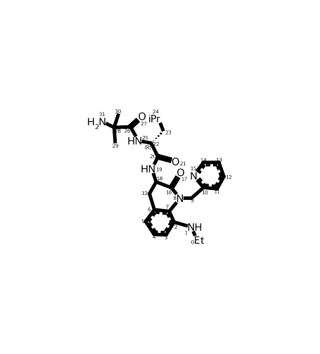 CCNc1cccc2c1N(Cc1ccccn1)C(=O)C(NC(=O)[C@@H](CC(C)C)NC(=O)C(C)(C)N)C2